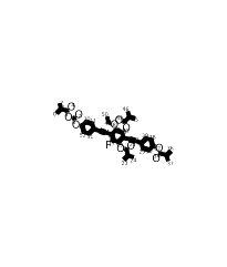 C=C(C)C(=O)OC(=O)Oc1ccc(C#Cc2c(F)c(OC(=O)C(=C)C)c(C#Cc3ccc(OC(=O)C(=C)C)cc3)c(OC(=O)C(=C)C)c2OCC)cc1